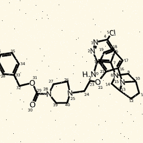 Nc1nnc(Cl)cc1N1CC2CCC(C1)N2c1ccccc1OCCN1CCN(C(=O)OCc2ccccc2)CC1